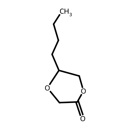 CCCCC1COC(=O)CO1